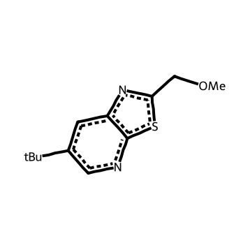 COCc1nc2cc(C(C)(C)C)cnc2s1